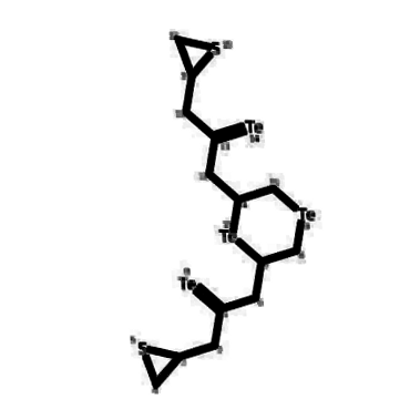 [Te]=C(CC1CS1)CC1C[Te]CC(CC(=[Te])CC2CS2)[Te]1